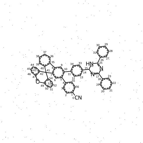 N#Cc1ccc(-c2cc3c(cc2-c2ccc(C4N=C(c5ccccc5)N=C(c5ccccc5)N4)cc2)-c2ccccc2C32c3ccccc3Oc3ccccc32)cc1